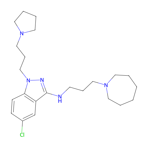 Clc1ccc2c(c1)c(NCCCN1CCCCCC1)nn2CCCN1CCCC1